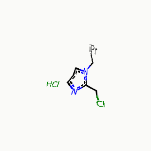 CC(C)Cn1ccnc1CCl.Cl